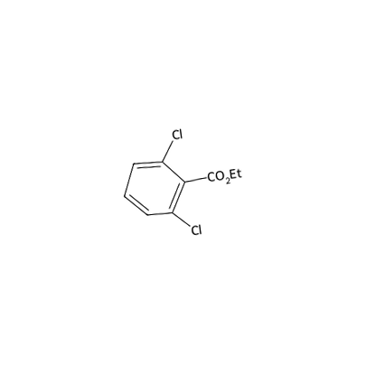 CCOC(=O)c1c(Cl)cccc1Cl